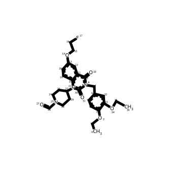 CCOc1ccc(Cn2c(=O)c3cc(OCCF)ccc3n(C3CCN(C=O)CC3)c2=O)cc1OCC